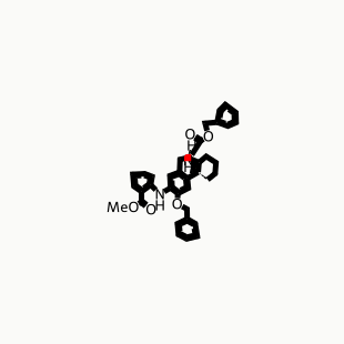 COC(=O)c1ccccc1Nc1cc2c(cc1OCc1ccccc1)[C@]13CCCC[C@@H]1[C@H](C2)N(C(=O)OCc1ccccc1)CC3